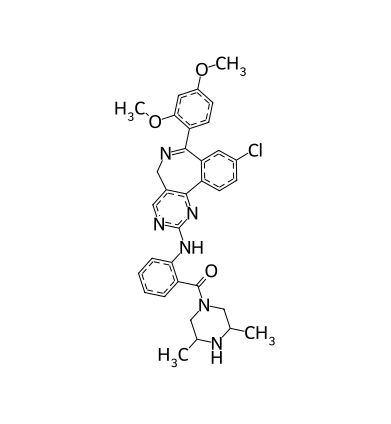 COc1ccc(C2=NCc3cnc(Nc4ccccc4C(=O)N4CC(C)NC(C)C4)nc3-c3ccc(Cl)cc32)c(OC)c1